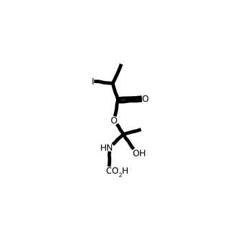 CC(I)C(=O)OC(C)(O)NC(=O)O